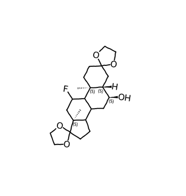 C[C@]12CC(F)C3C(C[C@H](O)[C@H]4CC5(CC[C@]34C)OCCO5)C1CCC21OCCO1